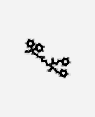 CCCC[Si](OCCNCCCN(C(=O)OCc1ccccc1)C(=O)OCc1ccccc1)(c1ccccc1)c1ccccc1